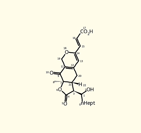 CCCCCCCC(O)[C@H]1C(=O)O[C@@]2(C)C(=O)C3=C(C=C(/C=C/C(=O)O)OC3)C[C@H]12